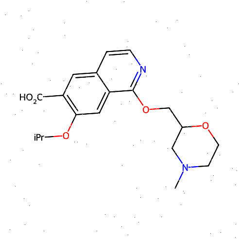 CC(C)Oc1cc2c(OCC3CN(C)CCO3)nccc2cc1C(=O)O